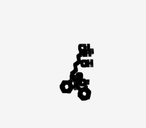 CNCC(O)CCCN1c2ccccc2N(c2ccccc2F)S1(=O)=O